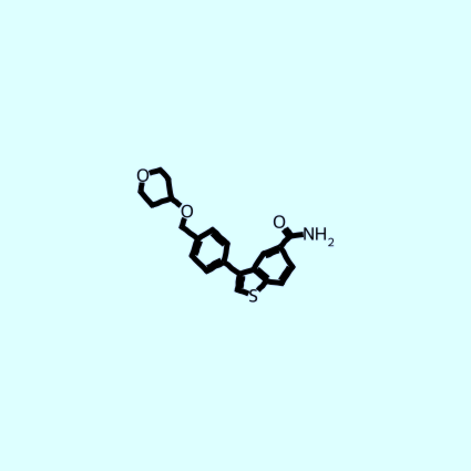 NC(=O)c1ccc2scc(-c3ccc(COC4CCOCC4)cc3)c2c1